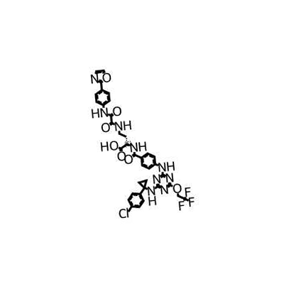 O=C(NCC[C@H](NC(=O)c1ccc(Nc2nc(NC3(c4ccc(Cl)cc4)CC3)nc(OCC(F)(F)F)n2)cc1)C(=O)O)C(=O)Nc1ccc(-c2ncco2)cc1